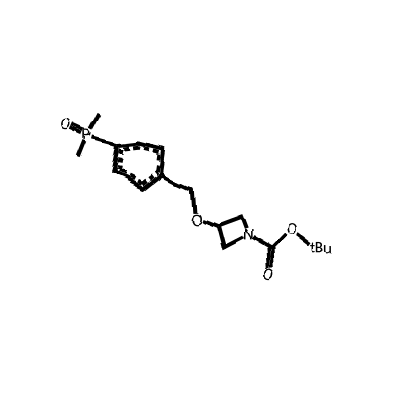 CC(C)(C)OC(=O)N1CC(OCc2ccc(P(C)(C)=O)cc2)C1